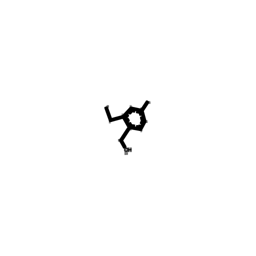 CCc1cc(C)ccc1CO